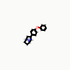 c1ccc(Oc2ccc(C3CC4CCC(C3)N4)cc2)cc1